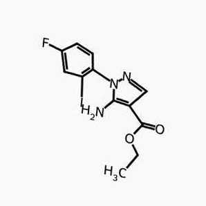 CCOC(=O)c1cnn(-c2ccc(F)cc2I)c1N